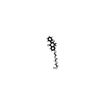 CC1(C)c2cc(OCCOCCOCCO)ccc2C(=O)c2c1oc1ccccc21